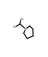 CCCC(CC)N1CCCCC1